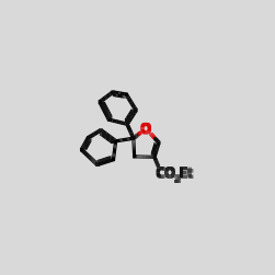 CCOC(=O)C1=COC(c2ccccc2)(c2ccccc2)C1